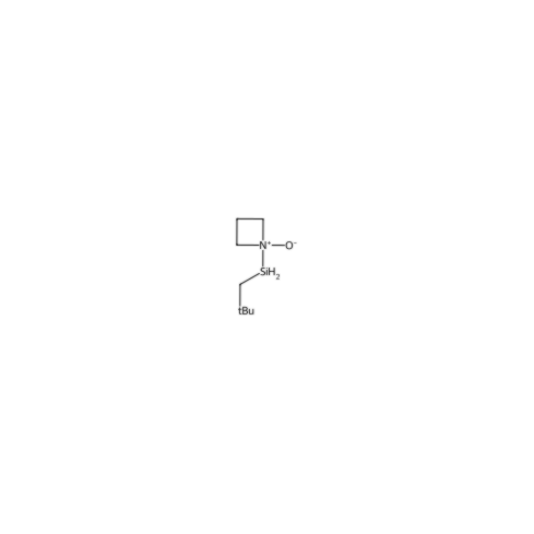 CC(C)(C)C[SiH2][N+]1([O-])CCC1